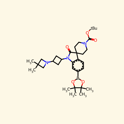 CC1(C)CN(C2CC(N3C(=O)C4(CCN(C(=O)OC(C)(C)C)CC4)c4ccc(B5OC(C)(C)C(C)(C)O5)cc43)C2)C1